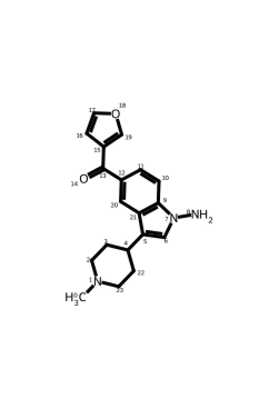 CN1CCC(c2cn(N)c3ccc(C(=O)c4ccoc4)cc23)CC1